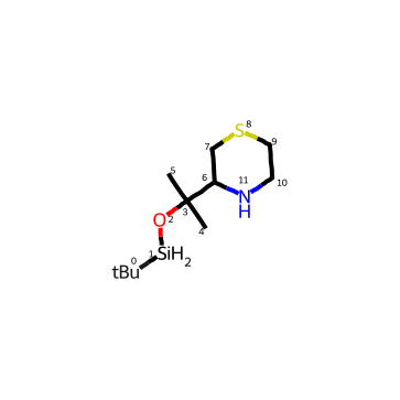 CC(C)(C)[SiH2]OC(C)(C)C1CSCCN1